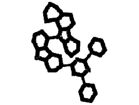 c1ccc(-c2nc(-c3ccccc3)nc(-c3ccc4oc5cccc(-n6c7ccccc7c7ccc8ccccc8c76)c5c4c3)n2)cc1